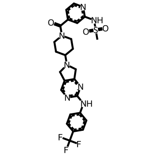 CS(=O)(=O)Nc1cc(C(=O)N2CCC(N3Cc4cnc(Nc5ccc(C(F)(F)F)cc5)nc4C3)CC2)ccn1